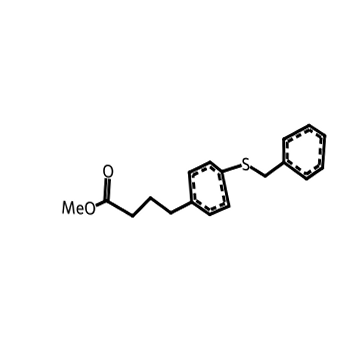 COC(=O)CCCc1ccc(SCc2ccccc2)cc1